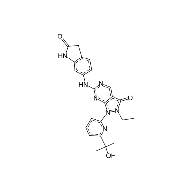 CCn1c(=O)c2cnc(Nc3ccc4c(c3)NC(=O)C4)nc2n1-c1cccc(C(C)(C)O)n1